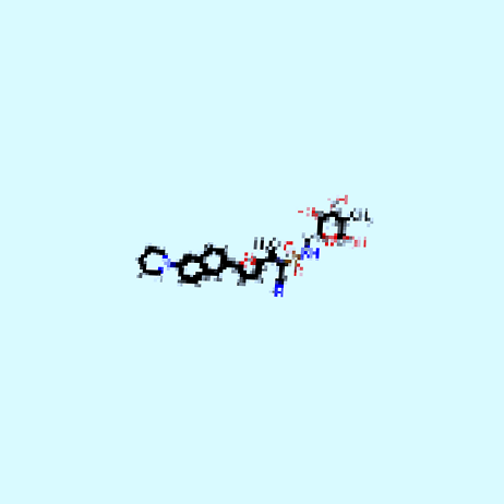 C/C(=C(/C#N)S(=O)(=O)NC[C@H]1OC(O)[C@H](C)[C@@H](O)[C@@H]1O)c1ccc(-c2ccc3cc(N4CCCCC4)ccc3c2)o1